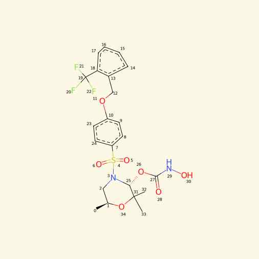 C[C@H]1CN(S(=O)(=O)c2ccc(OCc3ccccc3C(F)(F)F)cc2)[C@H](OC(=O)NO)C(C)(C)O1